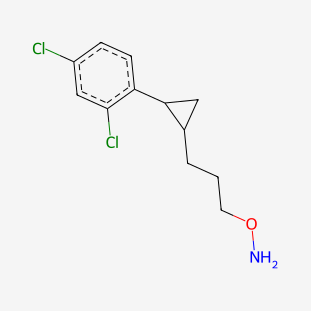 NOCCCC1CC1c1ccc(Cl)cc1Cl